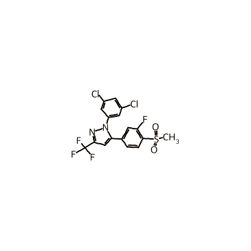 CS(=O)(=O)c1ccc(-c2cc(C(F)(F)F)nn2-c2cc(Cl)cc(Cl)c2)cc1F